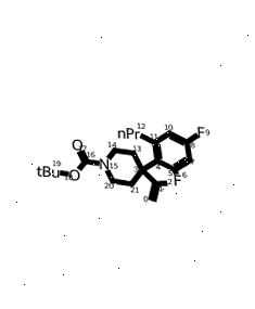 C=C(C)C1(c2c(F)cc(F)cc2CCC)CCN(C(=O)OC(C)(C)C)CC1